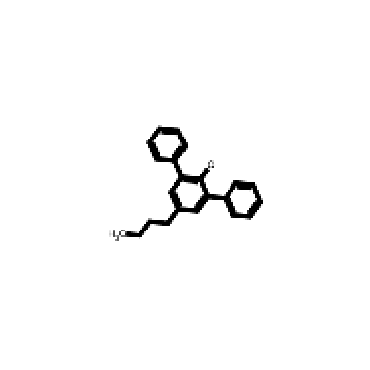 CCCCc1cc(-c2ccccc2)c([O])c(-c2ccccc2)c1